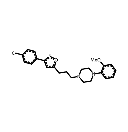 COc1ccccc1N1CCN(CCCc2cc(-c3ccc(Cl)cc3)no2)CC1